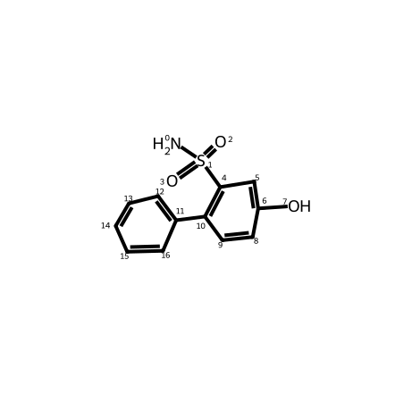 NS(=O)(=O)c1cc(O)ccc1-c1ccccc1